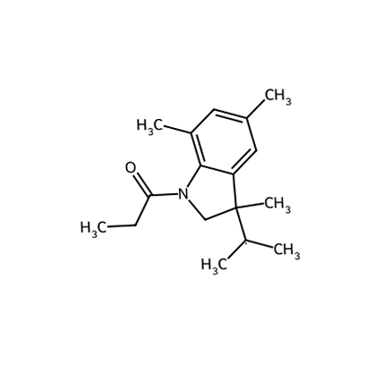 CCC(=O)N1CC(C)([C](C)C)c2cc(C)cc(C)c21